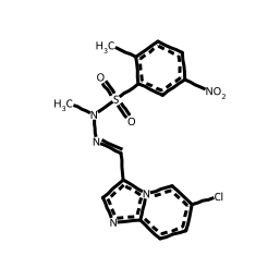 Cc1ccc([N+](=O)[O-])cc1S(=O)(=O)N(C)N=Cc1cnc2ccc(Cl)cn12